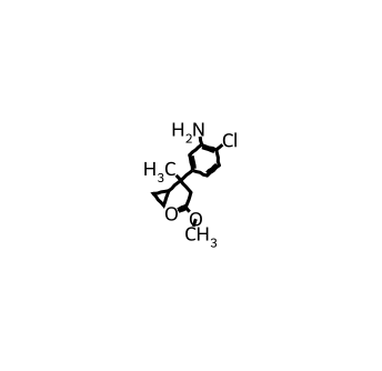 COC(=O)CC(C)(c1ccc(Cl)c(N)c1)C1CC1